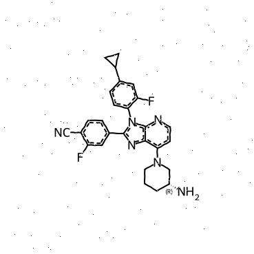 N#Cc1ccc(-c2nc3c(N4CCC[C@@H](N)C4)ccnc3n2-c2ccc(C3CC3)cc2F)cc1F